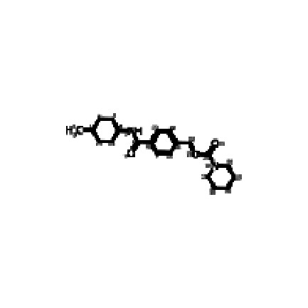 CC1CCC(NC(=O)c2ccc(COC(=O)N3CCCCC3)cc2)CC1